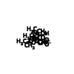 CCN1C(C)=C(C(=O)O)C(c2cccc([N+](=O)[O-])c2)C(P2(=O)OCC(C(C)C)CO2)=C1C